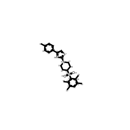 Cc1ccc(-c2csc(N3CCC(S(=O)(=O)c4c(C)c(C)cc(C)c4C)CC3)n2)cc1